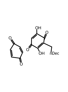 CCCCCCCCCCCC1=C(O)C(=O)C=C(O)C1=O.O=C1C=CC(=O)C=C1